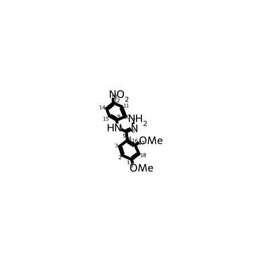 COc1ccc(C(=NN)Nc2ccc([N+](=O)[O-])cc2)c(OC)c1